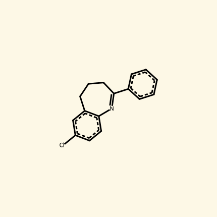 Clc1ccc2c(c1)CCCC(c1ccccc1)=N2